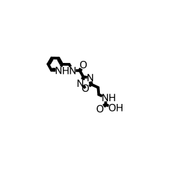 O=C(O)NCCc1nc(C(=O)NCc2ccccn2)no1